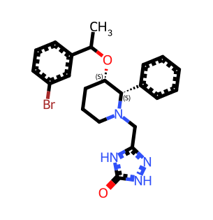 CC(O[C@H]1CCCN(Cc2n[nH]c(=O)[nH]2)[C@H]1c1ccccc1)c1cccc(Br)c1